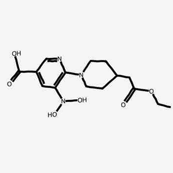 CCOC(=O)CC1CCN(c2ncc(C(=O)O)cc2N(O)O)CC1